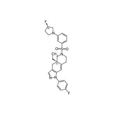 CC[C@]12Cc3cnn(-c4ccc(F)cc4)c3C=C1CCN(S(=O)(=O)c1cccc(N3CC[C@@H](F)C3)c1)C2